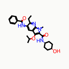 CCc1nc2c(cc1NC(=O)c1ccccc1)c(OC(C)C)c(C(=O)N[C@H]1CC[C@@H](O)CC1)n2C